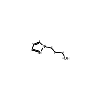 OCCCn1cccn1